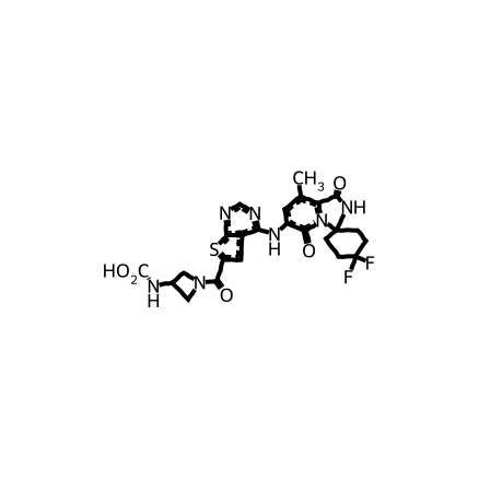 Cc1cc(Nc2ncnc3sc(C(=O)N4CC(NC(=O)O)C4)cc23)c(=O)n2c1C(=O)NC21CCC(F)(F)CC1